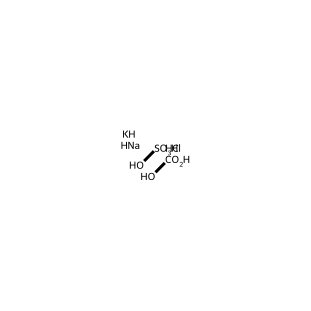 Cl.O=C(O)O.O=S(=O)(O)O.[KH].[NaH]